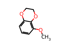 COc1cccc2c1OCCO2